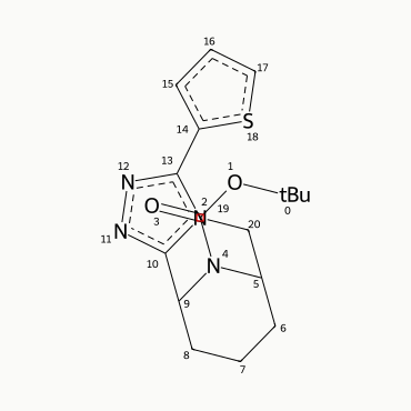 CC(C)(C)OC(=O)N1C2CCCC1c1nnc(-c3cccs3)n1C2